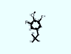 COc1c(F)cc(CC(C)(C)C)cc1F